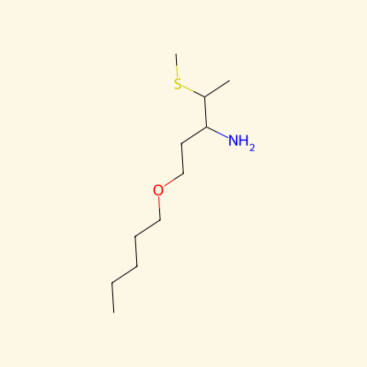 CCCCCOCCC(N)C(C)SC